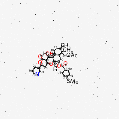 CSc1ccc(C(=O)O[C@H]2CC3C(C)(COC(C)=O)[C@@H](C)CC[C@]3(C)C3[C@@H](O)c4c(cc(-c5cccnc5)oc4=O)O[C@@]32C)cc1